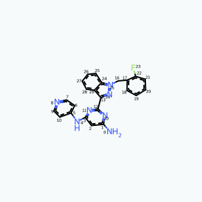 Nc1cc(Nc2ccncc2)nc(-c2nn(Cc3ccccc3F)c3ccccc23)n1